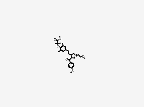 COCCN1CC(CCc2cc(C)c(OC(C)(C)C(=O)OC)c(C)c2)C(C(=O)c2ccc(SC)cc2)C1